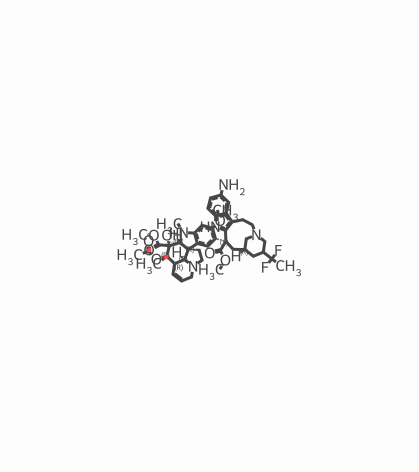 CC[C@]12C=CCN3CC[C@@]4(c5cc([C@@]6(C(=O)OC)C[C@H]7CC(C(C)(F)F)CN(CCc8c6[nH]c6ccc(N)cc86)C7)c(OC)cc5N(C)[C@H]4[C@@](O)(C(=O)OC)[C@@H]1OC(C)=O)[C@@H]32